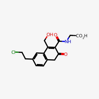 O=C(O)CNC(=O)C1=C(CO)c2cc(CCCl)ccc2CC1=O